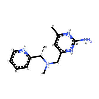 Cc1cc(CN(C)[C@@H](C)c2ccccn2)nc(N)n1